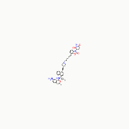 Cc1ccc(N)cc1C(=O)N[C@H](C)c1ccc(C#CC2CCN(CCCCCCc3cccc4c3oc(=O)n4C3CCC(=O)NC3=O)CC2)c2ccccc12